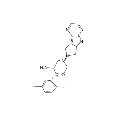 NC1C[C@@H](N2Cc3nn4nccnc4c3C2)CO[C@@H]1c1cc(F)ccc1F